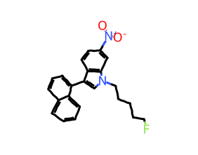 O=[N+]([O-])c1ccc2c(-c3cccc4ccccc34)cn(CCCCCF)c2c1